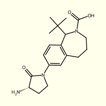 CC(C)(C)C1c2ccc(N3CC[C@H](N)C3=O)cc2CCCN1C(=O)O